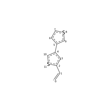 [CH]=Cc1[c]c(-c2ccsc2)cs1